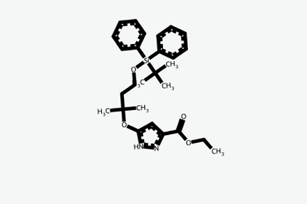 CCOC(=O)c1cc(OC(C)(C)CCO[Si](c2ccccc2)(c2ccccc2)C(C)(C)C)[nH]n1